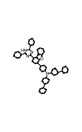 c1ccc(C2=NC(c3ccc(-c4ccc(N(c5ccc(-c6ccccc6)cc5)c5ccc(-c6ccccc6)cc5)cc4)c4oc5ccccc5c34)=NC(c3ccccc3)N2)cc1